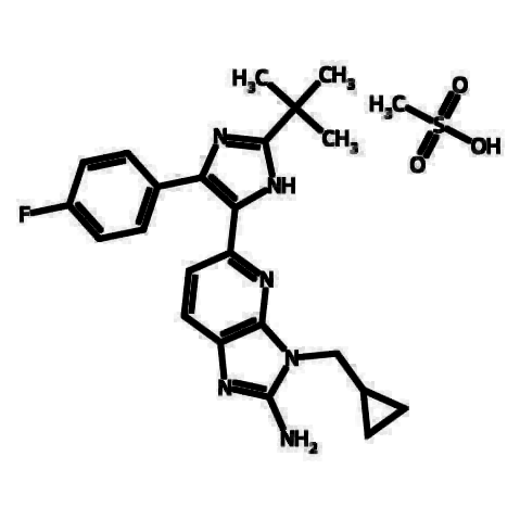 CC(C)(C)c1nc(-c2ccc(F)cc2)c(-c2ccc3nc(N)n(CC4CC4)c3n2)[nH]1.CS(=O)(=O)O